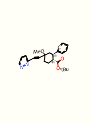 COC1(C#Cc2cccnn2)CC[C@@H](C(=O)OC(C)(C)C)[C@H](c2ccccc2)C1